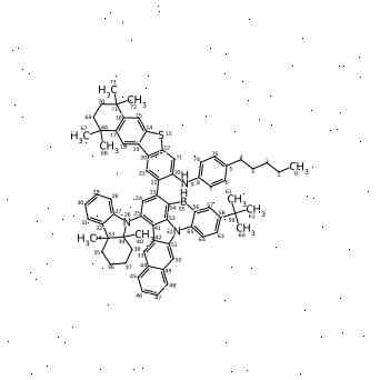 CCCCCc1ccc(Nc2cc3sc4cc5c(cc4c3cc2-c2cc(N3c4ccccc4C4(C)CCCCC34C)c3c4cc6ccccc6cc4n4c3c2Bc2cc(C(C)(C)C)ccc2-4)C(C)(C)CCC5(C)C)cc1